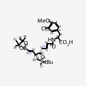 COc1ccc(CC(NC(=O)/C=C/C[C@H](O[Si](C)(C)C(C)(C)C)[C@H](C)/C=C/B2OC(C)(C)C(C)(C)O2)C(=O)O)cc1Cl